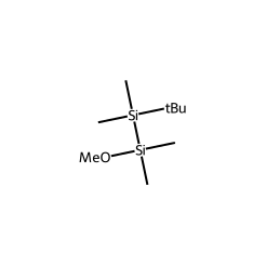 CO[Si](C)(C)[Si](C)(C)C(C)(C)C